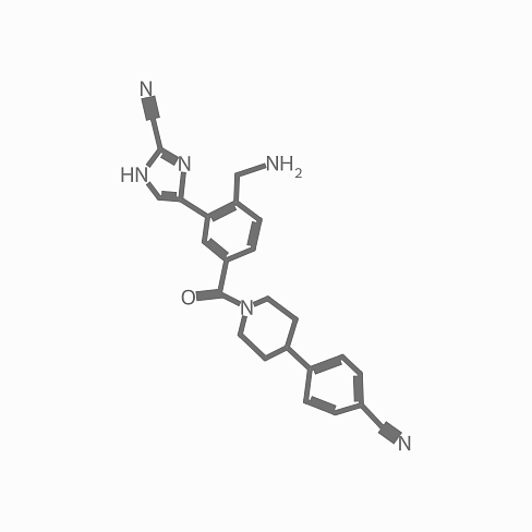 N#Cc1ccc(C2CCN(C(=O)c3ccc(CN)c(-c4c[nH]c(C#N)n4)c3)CC2)cc1